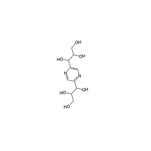 OCC(O)C(O)c1cnc(C(O)C(O)CO)cn1